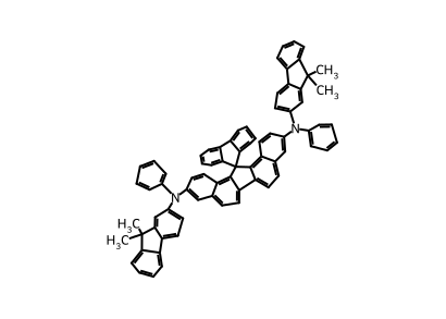 CC1(C)c2ccccc2-c2ccc(N(c3ccccc3)c3ccc4c5c(ccc4c3)-c3ccc4cc(N(c6ccccc6)c6ccc7c(c6)C(C)(C)c6ccccc6-7)ccc4c3C53c4ccccc4-c4ccccc43)cc21